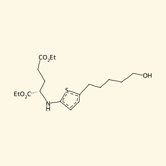 CCOC(=O)CC[C@H](Nc1ccc(CCCCCO)s1)C(=O)OCC